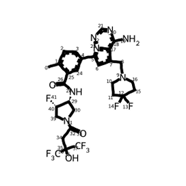 Cc1ccc(-c2cc(CN3CCC(F)(F)CC3)c3c(N)ncnn23)cc1C(=O)N[C@@H]1CN(C(=O)CC(O)(C(F)(F)F)C(F)(F)F)C[C@@H]1F